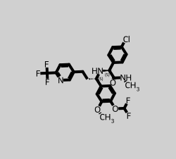 CNC(=O)[C@@H](N[C@@H](CCc1ccc(C(F)(F)F)nc1)c1ccc(OC(F)F)c(OC)c1)c1ccc(Cl)cc1